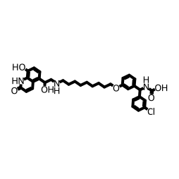 O=C(O)NC(c1cccc(Cl)c1)c1cccc(OCCCCCCCCCNCC(O)c2ccc(O)c3[nH]c(=O)ccc23)c1